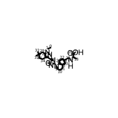 CCn1nc(-c2nc(N3CCCc4cc(CNC(C)C(=O)O)ccc43)no2)c2c1CC(C)(C)CC2